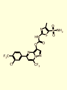 Cc1nc(NC(=O)Oc2cnn3c(C(F)(F)F)cc(-c4ccc(C(F)(F)F)c(Cl)c4)nc23)sc1S(N)(=O)=O